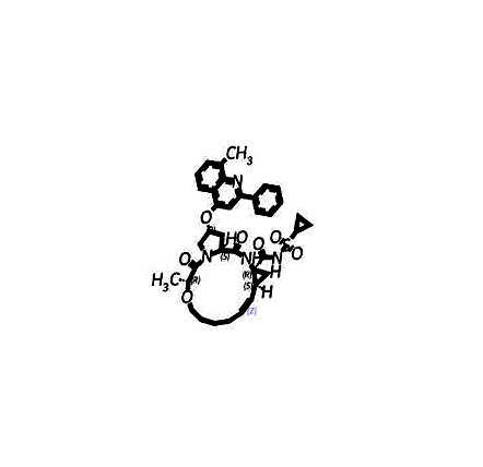 Cc1cccc2c(O[C@@H]3C[C@H]4C(=O)N[C@]5(C(=O)NS(=O)(=O)C6CC6)C[C@H]5/C=C\CCCCO[C@H](C)C(=O)N4C3)cc(-c3ccccc3)nc12